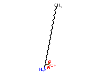 CCCCCCCCCCCCCCCCCCCCCCCC(CN)S(=O)(=O)O